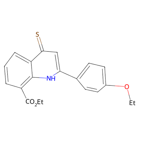 CCOC(=O)c1cccc2c(=S)cc(-c3ccc(OCC)cc3)[nH]c12